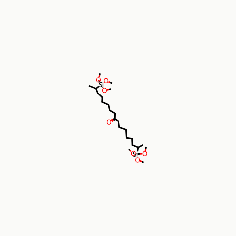 CO[Si](OC)(OC)C(C)CCCCCCC(=O)CCCCCCC(C)[Si](OC)(OC)OC